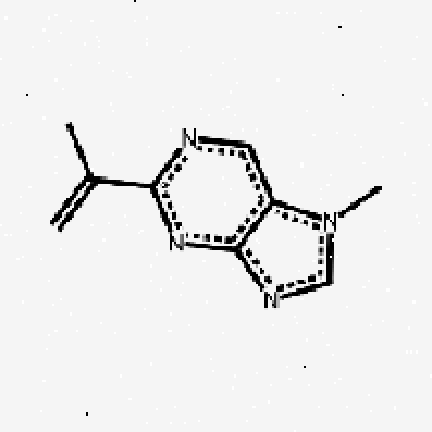 C=C(C)c1ncc2c(ncn2C)n1